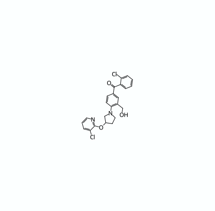 O=C(c1ccc(N2CCC(Oc3ncccc3Cl)C2)c(CO)c1)c1ccccc1Cl